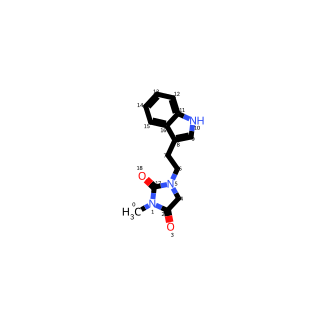 CN1C(=O)CN(CCc2c[nH]c3ccccc23)C1=O